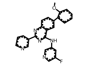 COc1ccccc1-c1ccc2nc(-c3cccnc3)nc(Nc3cncc(F)c3)c2c1